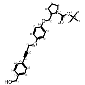 CC(C)(C)OC(=O)N1CCCC1COc1ccc(OCC#Cc2ccc(CO)cc2)cc1